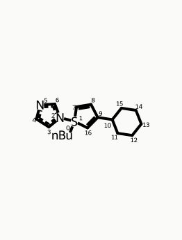 CCCCS1(n2ccnc2)C=CC(C2CCCCC2)=C1